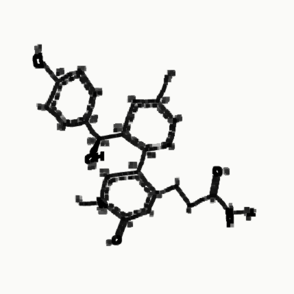 CCNC(=O)CCc1cc(=O)n(C)cc1-c1ccc(F)cc1[C@@H](O)c1ccc(Cl)cc1